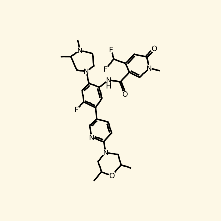 CC1CN(c2ccc(-c3cc(NC(=O)c4cn(C)c(=O)cc4C(F)F)c(N4CCN(C)C(C)C4)cc3F)cn2)CC(C)O1